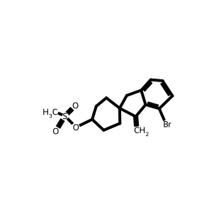 C=C1c2c(Br)cccc2CC12CCC(OS(C)(=O)=O)CC2